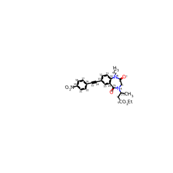 CCOC(=O)CC(C)N1CC(=O)N(C)c2ccc(C#Cc3ccc([N+](=O)[O-])cc3)cc2C1=O